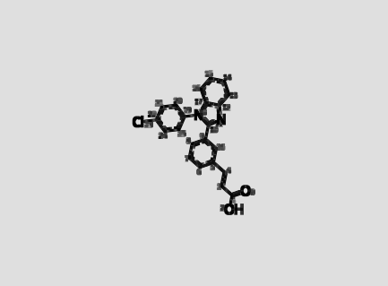 O=C(O)/C=C/c1cccc(-c2nc3ccccc3n2-c2ccc(Cl)cc2)c1